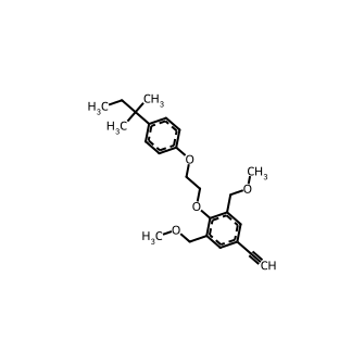 C#Cc1cc(COC)c(OCCOc2ccc(C(C)(C)CC)cc2)c(COC)c1